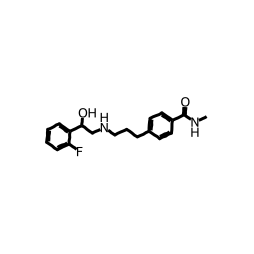 CNC(=O)c1ccc(CCCNCC(O)c2ccccc2F)cc1